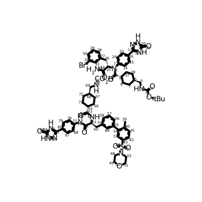 CC(C)(C)OC(=O)NC[C@H]1CC[C@H](C(=O)N(c2ccc(-c3n[nH]c(=O)[nH]3)cc2)[C@@H](Cc2cccc(Br)c2)C(N)=O)CC1.Cc1ccc(S(=O)(=O)N2CCOCC2)cc1-c1cccc(C[C@H](NC(=O)[C@H]2CC[C@H](CNC(=O)O)CC2)C(=O)Nc2ccc(-c3n[nH]c(=O)[nH]3)cc2)c1